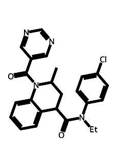 CCN(C(=O)C1CC(C)N(C(=O)c2cncnc2)c2ccccc21)c1ccc(Cl)cc1